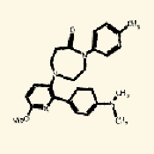 COc1ccc(N2CCC(=O)N(c3ccc(C)cc3)CC2)c(C2=CC=C(N(C)C)CC2)n1